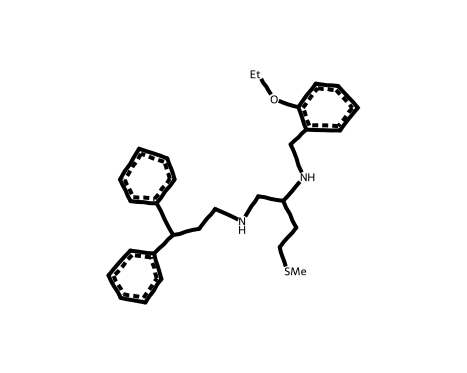 CCOc1ccccc1CNC(CCSC)CNCCC(c1ccccc1)c1ccccc1